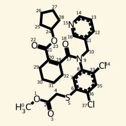 COC(=O)CSc1cc(N(Cc2cccnc2)C(=O)C2=C(C(=O)OC3CCCC3)CCCC2)c(Cl)cc1Cl